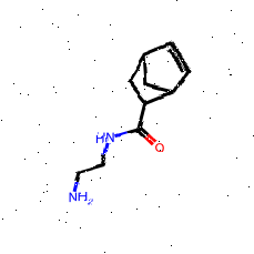 NCCNC(=O)C1CC2C=CC1C2